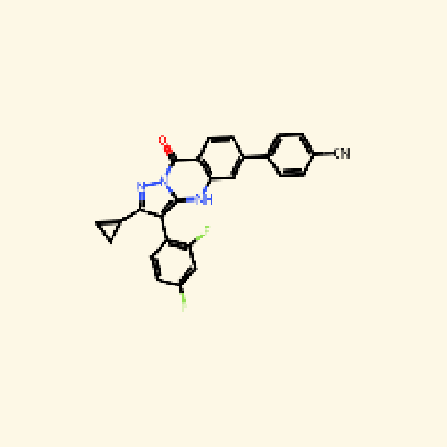 N#Cc1ccc(-c2ccc3c(=O)n4nc(C5CC5)c(-c5ccc(F)cc5F)c4[nH]c3c2)cc1